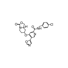 O=C(NCc1ccc(Cl)cc1)c1cc(O[C@H]2CCN3C(=O)OC[C@@H]3C2)c(-c2cnco2)cn1